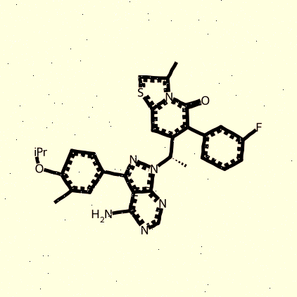 Cc1cc(-c2nn([C@@H](C)c3cc4scc(C)n4c(=O)c3-c3cccc(F)c3)c3ncnc(N)c23)ccc1OC(C)C